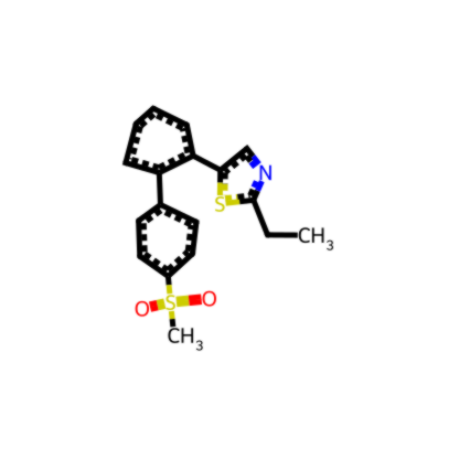 CCc1ncc(-c2ccccc2-c2ccc(S(C)(=O)=O)cc2)s1